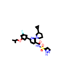 CC(C)COc1cc(F)cc(-c2ccc(C(=O)NS(=O)(=O)c3ccn[nH]3)c(N3CCCC(C4CC4)C3)n2)c1